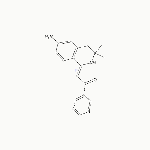 CC1(C)Cc2cc(N)ccc2/C(=C/C(=O)c2cccnc2)N1